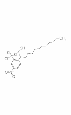 CCCCCCCCCCCC(SS)c1ccc([N+](=O)[O-])cc1C(Cl)(Cl)Cl